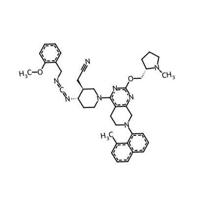 COc1ccccc1CN=C=N[C@H]1CCN(c2nc(OC[C@@H]3CCCN3C)nc3c2CCN(c2cccc4cccc(C)c24)C3)C[C@@H]1CC#N